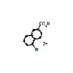 O=C(O)c1ccc2c(Br)cccc2c1.[Zn]